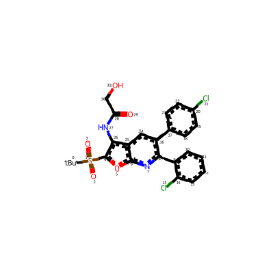 CC(C)(C)S(=O)(=O)c1oc2nc(-c3ccccc3Cl)c(-c3ccc(Cl)cc3)cc2c1NC(=O)CO